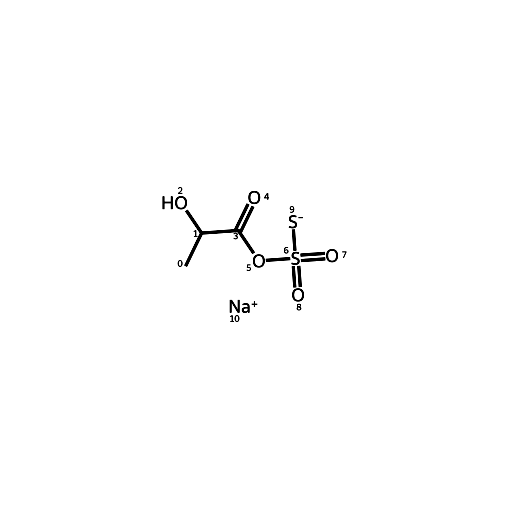 CC(O)C(=O)OS(=O)(=O)[S-].[Na+]